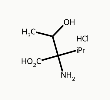 CC(C)C(N)(C(=O)O)C(C)O.Cl